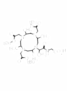 CC1CN(CC(=O)OC(C)(C)C)C(C)CN(C(C)C(=O)NCC(=O)O)C(C)CN(CC(=O)OC(C)(C)C)C(C)CN1CC(=O)OC(C)(C)C